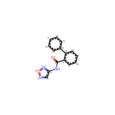 O=C(Nc1cnon1)c1ccccc1-c1ccccc1